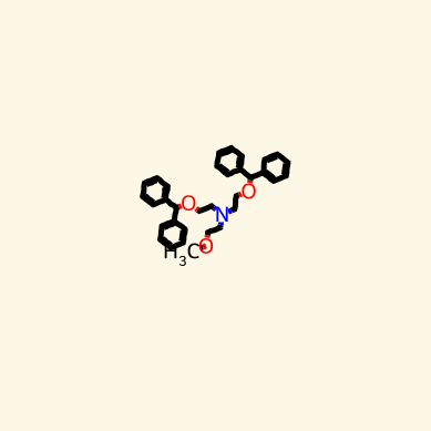 COCCN(CCOC(c1ccccc1)c1ccccc1)CCOC(c1ccccc1)c1ccccc1